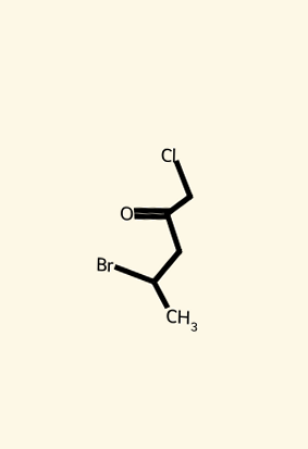 CC(Br)CC(=O)CCl